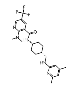 Cc1cc(C)nc(NC[C@H]2CC[C@H](NC(=O)c3cc(C(F)(F)F)cnc3N(C)C)CC2)c1